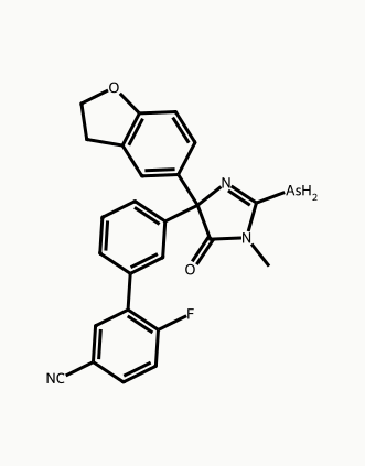 CN1C(=O)C(c2cccc(-c3cc(C#N)ccc3F)c2)(c2ccc3c(c2)CCO3)N=C1[AsH2]